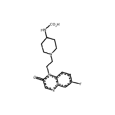 O=C(O)NC1CCN(CCn2c(=O)cnc3cc(F)ccc32)CC1